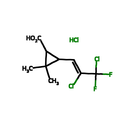 CC1(C)C(C=C(Cl)C(F)(F)Cl)C1C(=O)O.Cl